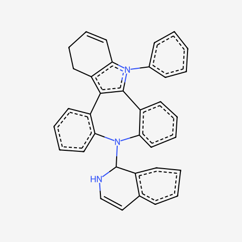 C1=Cc2c(c3c(n2-c2ccccc2)-c2ccccc2N(C2NC=Cc4ccccc42)c2ccccc2-3)CC1